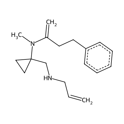 C=CCNCC1(N(C)C(=C)CCc2ccccc2)CC1